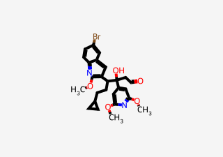 COc1cc(C(O)(CC=O)C(CCC2CC2)c2cc3cc(Br)ccc3nc2OC)cc(OC)n1